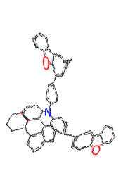 c1ccc(N(c2ccc(-c3ccc4oc5ccccc5c4c3)cc2)c2ccc(-c3cccc4c3oc3ccccc34)cc2)c(-c2cccc3cccc(C4CCCCC4)c23)c1